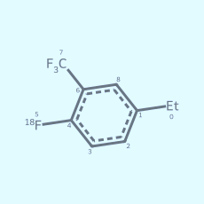 CCc1ccc([18F])c(C(F)(F)F)c1